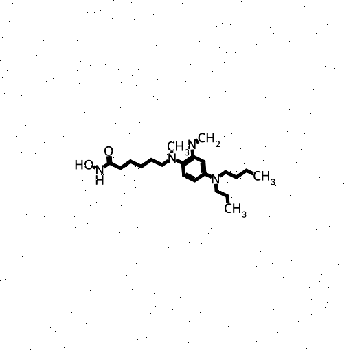 C=Nc1cc(N(CCC)CCCC)ccc1N(C)CCCCCC(=O)NO